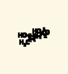 CC(CO)CNCC1(O)COC1